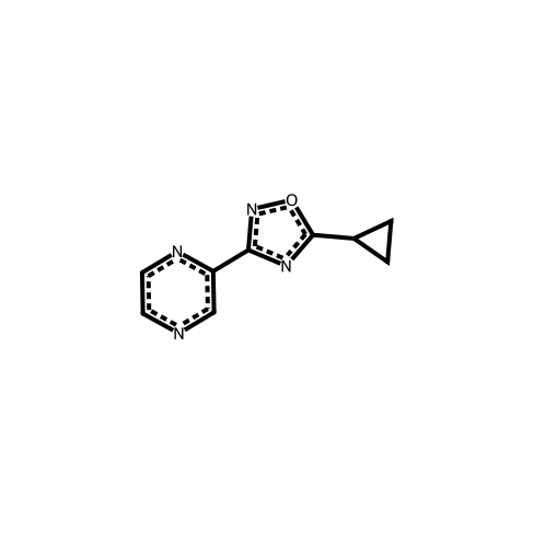 c1cnc(-c2noc(C3CC3)n2)cn1